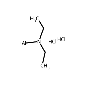 CC[N]([Al])CC.Cl.Cl